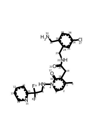 Cc1ccn(NCC(F)(F)c2ccccn2)c(=O)c1CC(=O)NCc1cc(Cl)ccc1CN